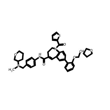 C1CCOC1.CCOc1ccccc1-c1ccc2c(c1)C=C(C(=O)Nc1ccc(CN(C)C3CCCOC3)cc1)CCN2C(=O)c1cccs1